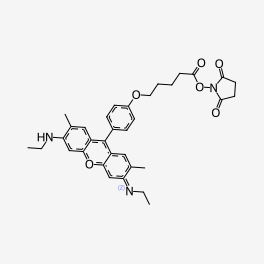 CC/N=c1/cc2oc3cc(NCC)c(C)cc3c(-c3ccc(OCCCCC(=O)ON4C(=O)CCC4=O)cc3)c-2cc1C